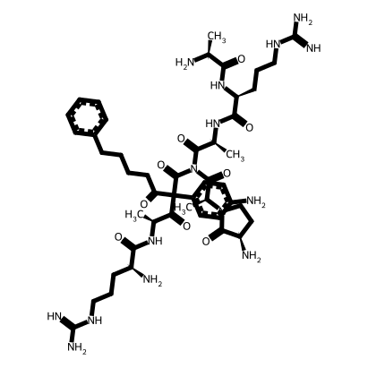 C[C@H](N)C(=O)N[C@@H](CCCNC(=N)N)C(=O)N[C@@H](C)C(=O)N(C(=O)[C@H](C)N1CC[C@@H](N)C1=O)C(=O)C(C(=O)CCCCc1ccccc1)(C(=O)[C@H](C)NC(=O)[C@@H](N)CCCNC(=N)N)c1ccc(N)cc1